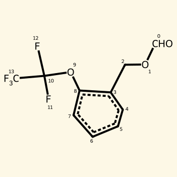 O=COCc1ccccc1OC(F)(F)C(F)(F)F